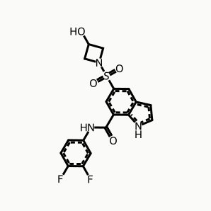 O=C(Nc1ccc(F)c(F)c1)c1cc(S(=O)(=O)N2CC(O)C2)cc2cc[nH]c12